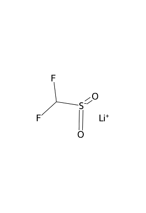 O=[S-](=O)C(F)F.[Li+]